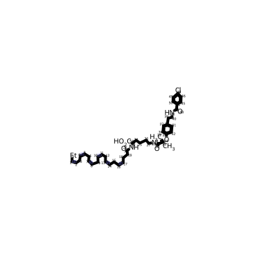 CC/C=C\C/C=C\C/C=C\C/C=C\C/C=C\C/C=C\CCC(=O)NC(CCCCNC(=O)C(C)(C)Oc1ccc(CCNC(=O)c2ccc(Cl)cc2)cc1)C(=O)O